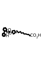 O=C(O)CCCCCCCCCCN1CCC(OC(=O)Nc2ccccc2-c2ccccc2)CC1